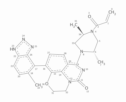 C=CC(=O)N1C[C@H](C)N(c2nc(=O)n3c4c(c(-c5c(C)ccc6[nH]nnc56)ccc24)OCC3)C[C@H]1C